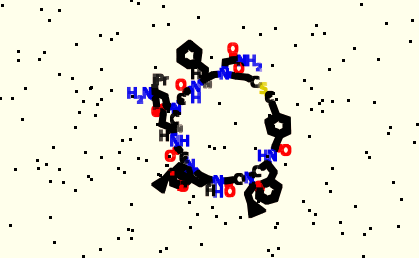 CC(C)CCC(=O)N1CC(=O)N[C@@H](Cc2ccccc2)CN(CC(N)=O)C(=O)CCSCc2ccc(cc2)C(=O)NC(Cc2ccccc2)CN(C(=O)CC2CC2)CC(=O)N[C@@H](Cc2ccccc2)CN(C(=O)CC2CC2)CC(=O)N[C@@H](CCCCN)C1